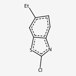 CCc1ccc2nc(Cl)sc2c1